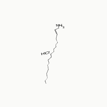 CCCCCCCCCCCCCCCCC=CCN.Cl